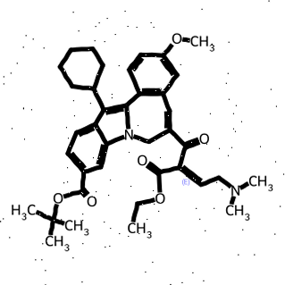 CCOC(=O)/C(=C/CN(C)C)C(=O)C1=Cc2cc(OC)ccc2-c2c(C3CCCCC3)c3ccc(C(=O)OC(C)(C)C)cc3n2C1